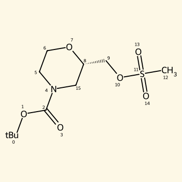 CC(C)(C)OC(=O)N1CCO[C@H](COS(C)(=O)=O)C1